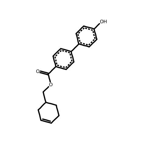 O=C(OCC1CC=CCC1)c1ccc(-c2ccc(O)cc2)cc1